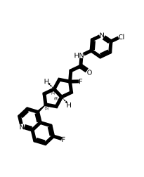 O=C(CC1(F)C[C@H]2C[C@@H](c3ccnc4ccc(F)cc34)C[C@H]2C1)Nc1ccc(Cl)nc1